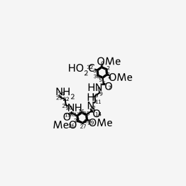 COc1cc(OC)c(C(=O)NCCCNC(=O)c2cc(C(=O)NCCCN)c(OC)cc2OC)cc1C(=O)O